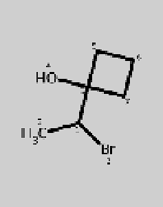 CC(Br)C1(O)CCC1